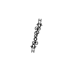 CC1(C)CC(OC(=O)c2ccc(OCC3CCC(C(=O)OC4CC(C)(C)NC(C)(C)C4)CO3)cc2)CC(C)(C)N1